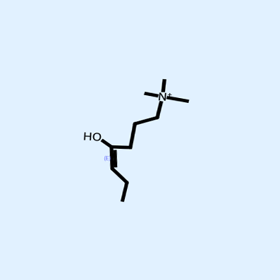 CC/C=C(/O)CCC[N+](C)(C)C